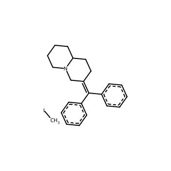 CI.c1ccc(C(=C2CCC3CCCCN3C2)c2ccccc2)cc1